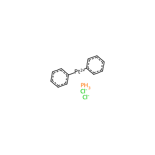 P.[Cl-].[Cl-].c1cc[c]([Pt+2][c]2ccccc2)cc1